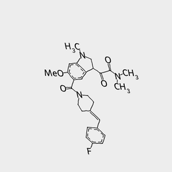 COc1cc2c(cc1C(=O)N1CCC(=Cc3ccc(F)cc3)CC1)C(C(=O)C(=O)N(C)C)CN2C